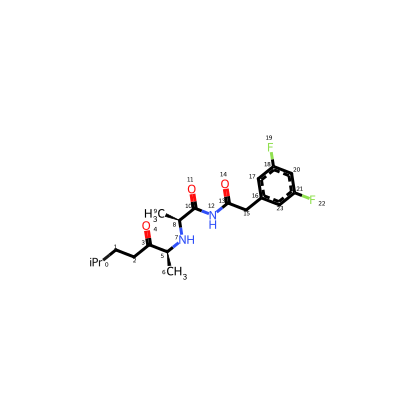 CC(C)CCC(=O)[C@H](C)N[C@@H](C)C(=O)NC(=O)Cc1cc(F)cc(F)c1